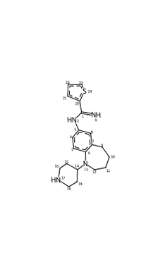 N=C(Nc1ccc2c(c1)CCCCN2C1CCNCC1)c1cccs1